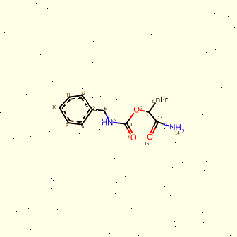 CCCC(OC(=O)NCc1ccccc1)C(N)=O